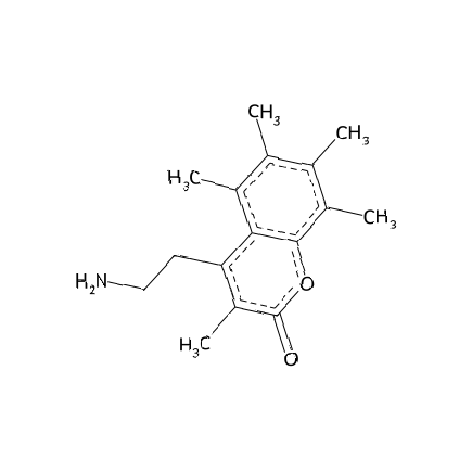 Cc1c(C)c(C)c2c(CCN)c(C)c(=O)oc2c1C